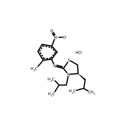 Cc1ccc([N+](=O)[O-])cc1N=C1SC[C@@H](CC(C)C)N1CC(C)C.Cl